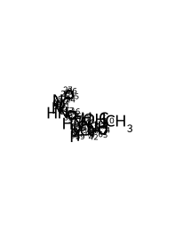 CC(C)c1cccc(C2(NC[C@@H](O)[C@H](Cc3ccc(Nc4cc(-c5ccccc5)ncn4)cc3)NC(=O)C(F)(F)F)CC2)c1